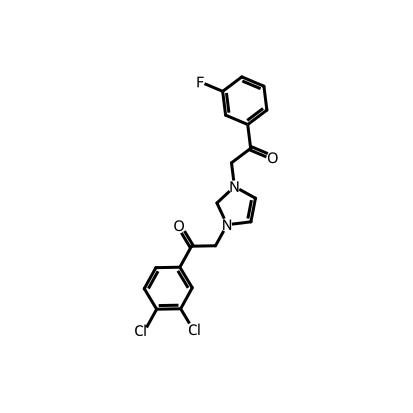 O=C(CN1C=CN(CC(=O)c2ccc(Cl)c(Cl)c2)C1)c1cccc(F)c1